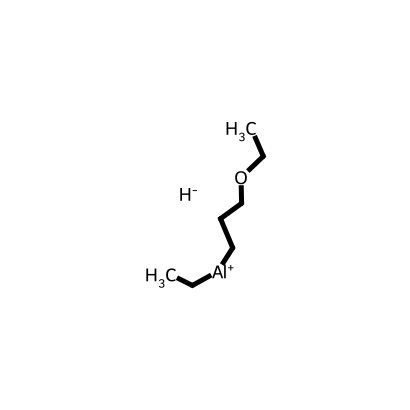 CCOCC[CH2][Al+][CH2]C.[H-]